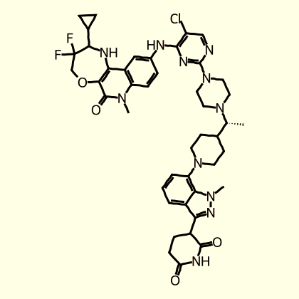 C[C@H](C1CCN(c2cccc3c(C4CCC(=O)NC4=O)nn(C)c23)CC1)N1CCN(c2ncc(Cl)c(Nc3ccc4c(c3)c3c(c(=O)n4C)OCC(F)(F)C(C4CC4)N3)n2)CC1